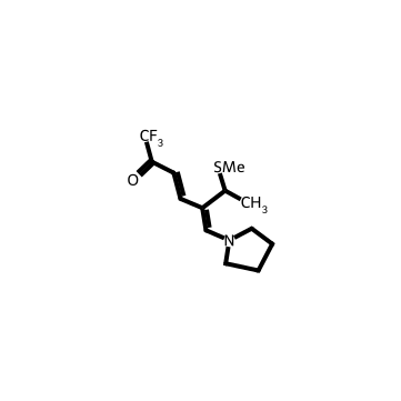 CSC(C)C(C=CC(=O)C(F)(F)F)=CN1CCCC1